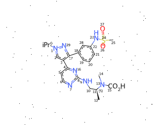 CC(C)n1cc(-c2ccnc(NC[C@H](C)N(C)C(=O)O)n2)c(-c2cccc(NS(C)(=O)=O)c2)n1